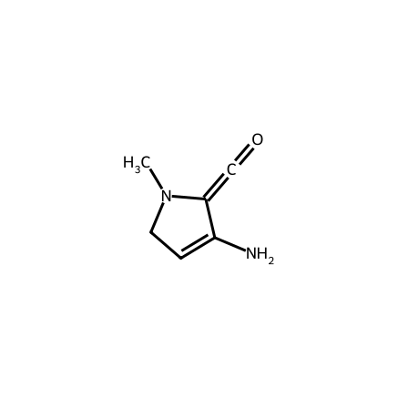 CN1CC=C(N)C1=C=O